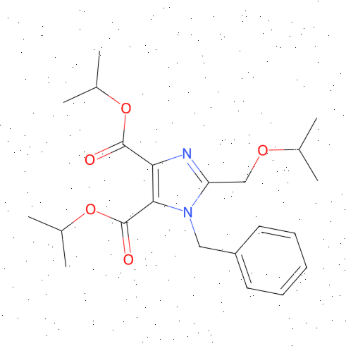 CC(C)OCc1nc(C(=O)OC(C)C)c(C(=O)OC(C)C)n1Cc1ccccc1